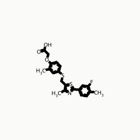 Cc1ccc(-c2nc(C)c(CSc3ccc(OCC(=O)O)c(C)c3)s2)cc1F